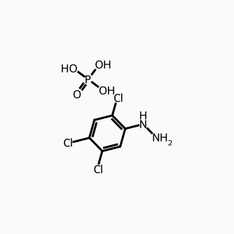 NNc1cc(Cl)c(Cl)cc1Cl.O=P(O)(O)O